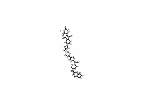 CC(=O)N(c1ccc(N2CCN(CC3CN(c4ccc5c(c4)C(=O)N(C4CCC(=O)NC4=O)C5=O)C3)CC2)cc1)C1CCC(Nc2ncc3ccccc3n2)CC1